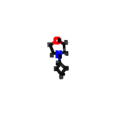 [CH]1CC(N2CCOCC2)C1